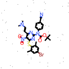 Cc1cc(Br)cc(C)c1Sc1nc(N(C(=O)OC(C)(C)C)c2ccc(C#N)cc2)nc(/C=C/N(C)C)c1[N+](=O)[O-]